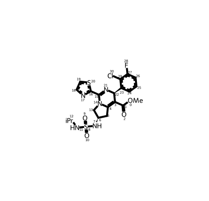 COC(=O)C1=C2C[C@H](NS(=O)(=O)NC(C)C)CN2C(c2nccs2)=N[C@H]1c1cccc(F)c1Cl